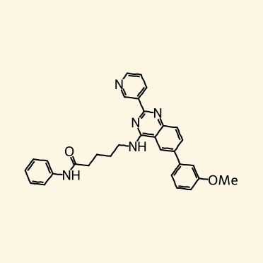 COc1cccc(-c2ccc3nc(-c4cccnc4)nc(NCCCCC(=O)Nc4ccccc4)c3c2)c1